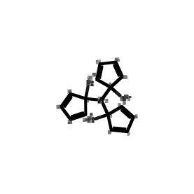 CCC[C]1([Zr]([C]2(CC)C=CC=C2)[C]2(CC)C=CC=C2)C=CC=C1